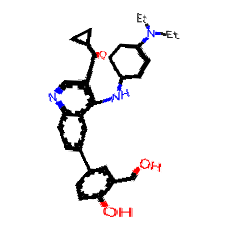 CCN(CC)C1CCC(Nc2c(C(=O)C3CC3)cnc3ccc(-c4ccc(O)c(CO)c4)cc23)CC1